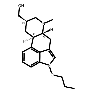 CCCOn1cc2c3c(cccc31)[C@H]1C[C@@H](CO)CN(C)[C@@H]1C2